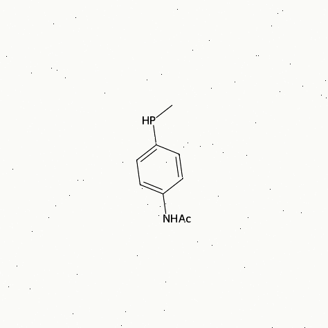 CPc1ccc(NC(C)=O)cc1